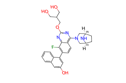 OCC(CO)COc1nc(N2C[C@H]3CC[C@@H](C2)N3)c2ccc(-c3cc(O)cc4ccccc34)c(F)c2n1